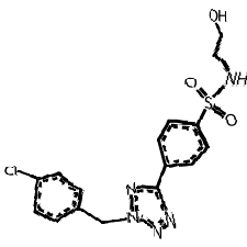 O=S(=O)(NCCO)c1ccc(-c2nnn(Cc3ccc(Cl)cc3)n2)cc1